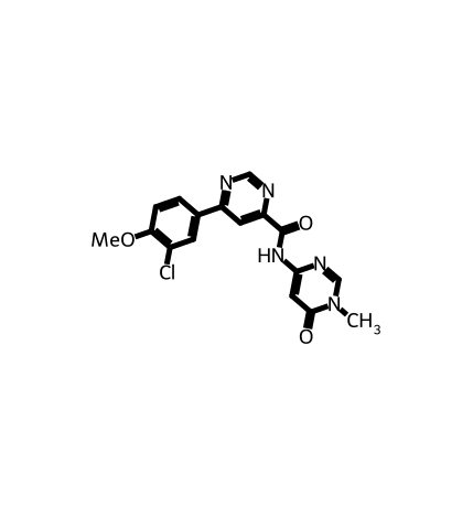 COc1ccc(-c2cc(C(=O)Nc3cc(=O)n(C)cn3)ncn2)cc1Cl